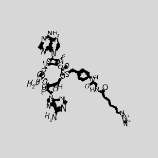 B[P@]1(=O)OC[C@H]2O[C@@H](n3cnc4c(N)ncnc43)[C@H](F)[C@@H]2O[P@@](=O)(SCc2ccc(NC(=O)CNC(=O)CCCCCN=[N+]=[N-])cc2)OC[C@H]2O[C@@H](n3cnc4c(N)ncnc43)[C@H](F)[C@@H]2O1